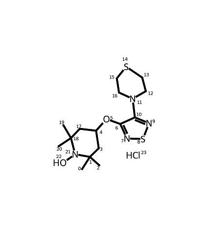 CC1(C)CC(Oc2nsnc2N2CCSCC2)CC(C)(C)N1O.Cl